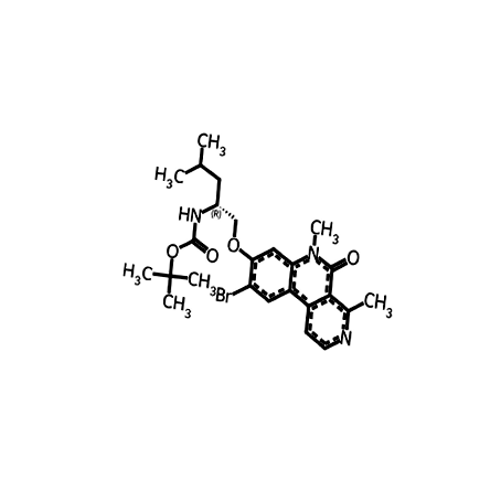 Cc1nccc2c1c(=O)n(C)c1cc(OC[C@@H](CC(C)C)NC(=O)OC(C)(C)C)c(Br)cc21